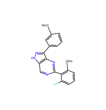 COc1cccc(-c2n[nH]c3cnc(-c4c(F)cccc4OC)nc23)c1